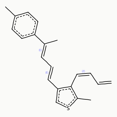 C=C/C=C\c1c(/C=C/C=C(\C)c2ccc(C)cc2)csc1C